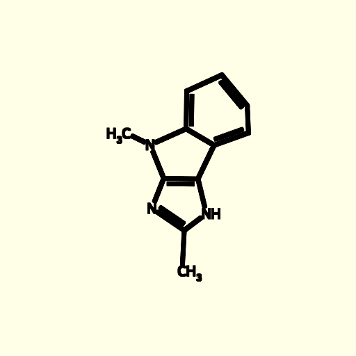 Cc1nc2c([nH]1)c1ccccc1n2C